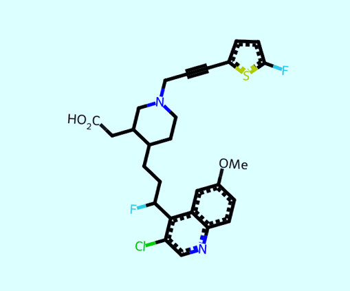 COc1ccc2ncc(Cl)c(C(F)CCC3CCN(CC#Cc4ccc(F)s4)CC3CC(=O)O)c2c1